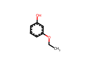 CCOc1c[c]cc(O)c1